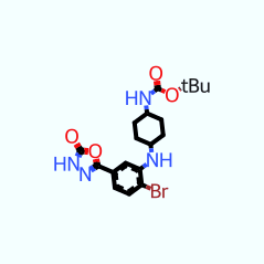 CC(C)(C)OC(=O)NC1CCC(Nc2cc(-c3n[nH]c(=O)o3)ccc2Br)CC1